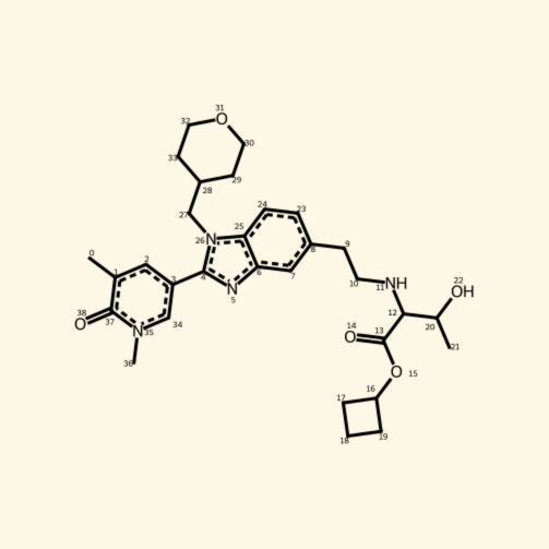 Cc1cc(-c2nc3cc(CCNC(C(=O)OC4CCC4)C(C)O)ccc3n2CC2CCOCC2)cn(C)c1=O